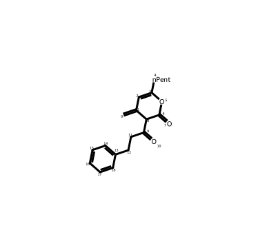 C=C1C=C(CCCCC)OC(=O)C1C(=O)CCc1ccccc1